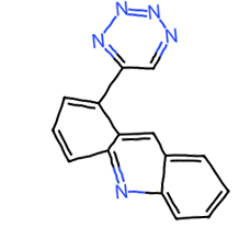 c1ccc2nc3cccc(-c4cnnnn4)c3cc2c1